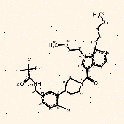 COCCOc1nccc2c(C(=O)N3CCC(c4cc(CNC(=O)C(F)(F)F)ccc4F)CC3)cn(CCOC)c12